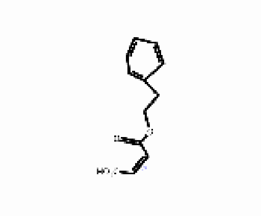 O=C(O)/C=C\C(=O)OCCc1ccccc1